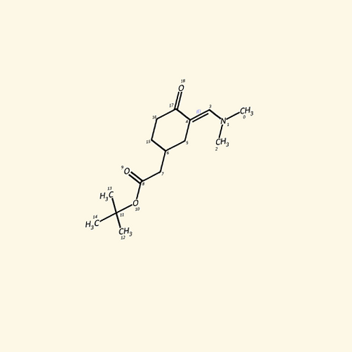 CN(C)/C=C1\CC(CC(=O)OC(C)(C)C)CCC1=O